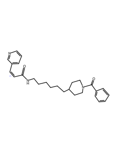 O=C(/C=C\c1cccnc1)NCCCCCCC1CCN(C(=O)c2ccccc2)CC1